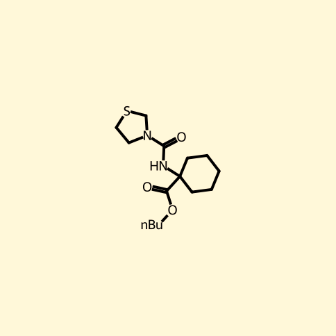 CCCCOC(=O)C1(NC(=O)N2CCSC2)CCCCC1